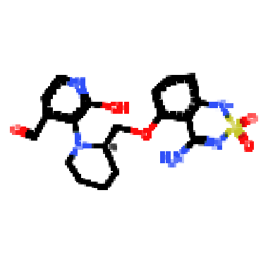 NC1=NS(=O)(=O)Nc2cccc(OC[C@H]3CCCCN3c3c(C=O)ccnc3O)c21